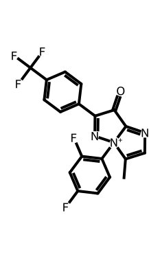 CC1=CN=C2C(=O)C(c3ccc(C(F)(F)F)cc3)=N[N+]12c1ccc(F)cc1F